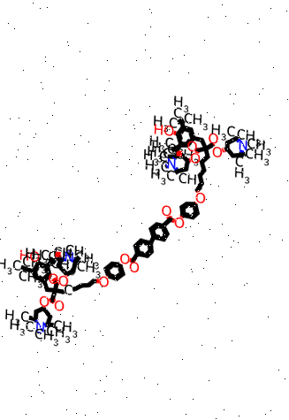 CN1C(C)(C)CC(OC(=O)C(CCCCCCOc2ccc(OC(=O)c3ccc(-c4ccc(C(=O)Oc5ccc(OCCCCCCC(Cc6cc(C(C)(C)C)c(O)c(C(C)(C)C)c6)(C(=O)OC6CC(C)(C)N(C)C(C)(C)C6)C(=O)OC6CC(C)(C)N(C)C(C)(C)C6)cc5)cc4)cc3)cc2)(Cc2cc(C(C)(C)C)c(O)c(C(C)(C)C)c2)C(=O)OC2CC(C)(C)N(C)C(C)(C)C2)CC1(C)C